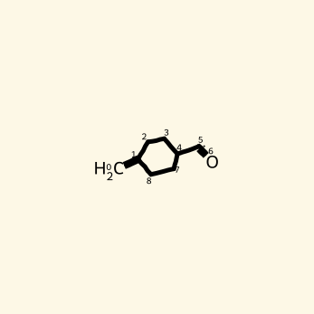 C=C1CCC([C]=O)CC1